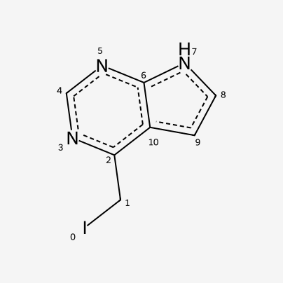 ICc1ncnc2[nH]ccc12